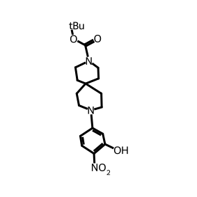 CC(C)(C)OC(=O)N1CCC2(CC1)CCN(c1ccc([N+](=O)[O-])c(O)c1)CC2